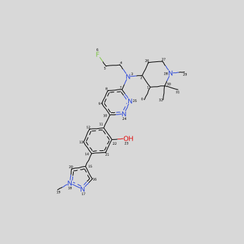 CC1C(N(CCF)c2ccc(-c3ccc(-c4cnn(C)c4)cc3O)nn2)CCN(C)C1(C)C